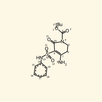 CC(C)(C)OC(=O)N1CCC(N)=C(S(=O)(=O)Nc2ccccc2)C1=O